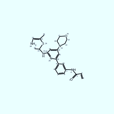 C=CC(=O)Nc1cccc(-c2cc(N3CCOCC3)cc(NC(C)S/C(C)=C\N)n2)c1